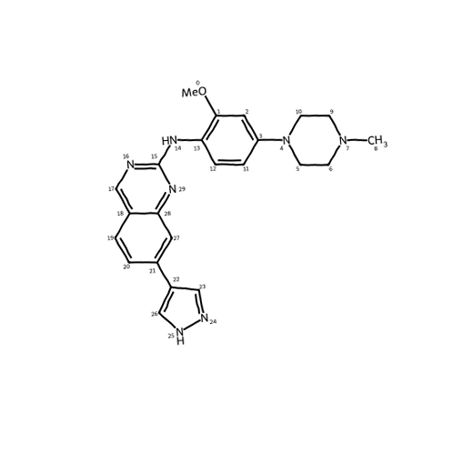 COc1cc(N2CCN(C)CC2)ccc1Nc1ncc2ccc(-c3cn[nH]c3)cc2n1